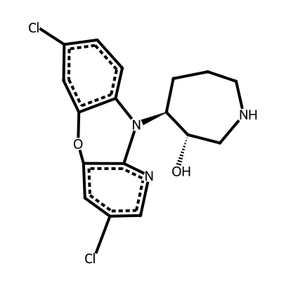 O[C@H]1CNCCC[C@@H]1N1c2ccc(Cl)cc2Oc2cc(Cl)cnc21